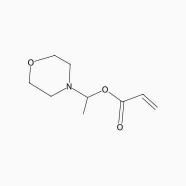 C=CC(=O)OC(C)N1CCOCC1